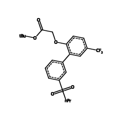 CCCS(=O)(=O)c1cccc(-c2cc(C(F)(F)F)ccc2OCC(=O)OC(C)(C)C)c1